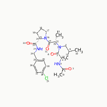 CC(=O)NCC(=O)N(CC(C)C)[C@@H](C)C(=O)N1CCC[C@H]1C(=O)NCc1ccc(Cl)cc1